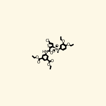 CCOC(=O)c1cc(NC(=O)c2sc(Cl)cc2S(=O)(=O)N(C)c2ccc(OCC)c(OCC)c2)cc(C(=O)OCC)c1